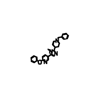 Cn1c(-c2ccc(Oc3ccccc3)nc2)cnc1C1CCN(Cc2ccccc2)CC1